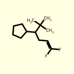 CC(C)(C)C(CC=C(F)F)C1CCCC1